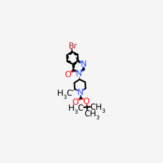 C[C@@H]1C[C@H](n2cnc3cc(Br)ccc3c2=O)CCN1C(=O)OC(C)(C)C